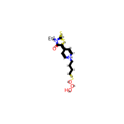 CCN1C(=O)C(=C2C=CN(CCCCSOOO)C=C2)SC1=S